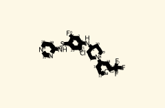 Fc1cc(NC2CCN(c3cccc(C(F)(F)F)c3)CC2)c(Cl)cc1SNc1ccncn1